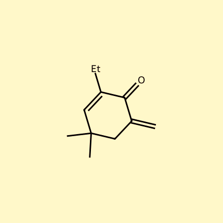 C=C1CC(C)(C)C=C(CC)C1=O